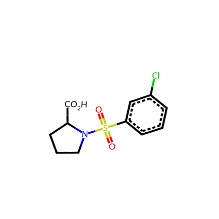 O=C(O)C1CCCN1S(=O)(=O)c1cccc(Cl)c1